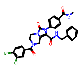 CNC(=O)c1ccc(-n2c(C(=O)NCc3ccccc3)c3n(c2=O)CCN(C(=O)c2ccc(Br)c(Cl)c2)C3)cc1